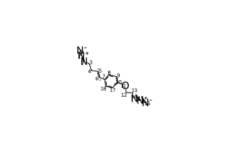 [N-]=[N+]=NCC/[C]=[C]/c1ccc(OCCN=[N+]=[N-])cc1